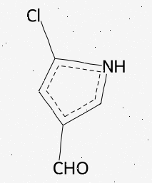 O=Cc1c[nH]c(Cl)c1